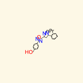 CCCN1N=C(c2nc(-c3ccc(CO)cc3)no2)CC1c1ccccc1